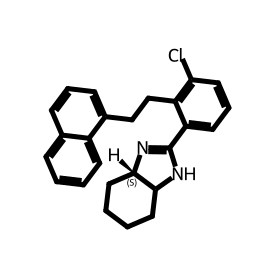 Clc1cccc(C2=N[C@H]3CCCCC3N2)c1CCc1cccc2ccccc12